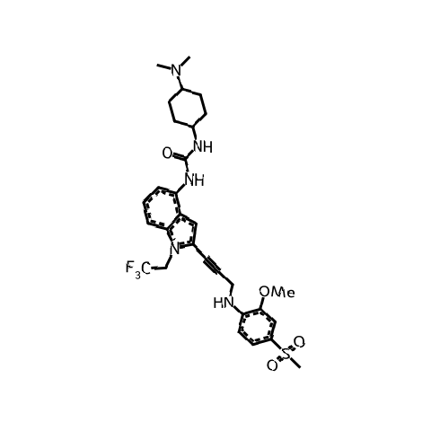 COc1cc(S(C)(=O)=O)ccc1NCC#Cc1cc2c(NC(=O)NC3CCC(N(C)C)CC3)cccc2n1CC(F)(F)F